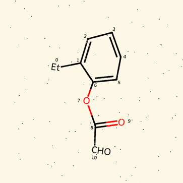 CCc1ccccc1OC(=O)C=O